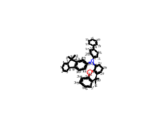 CC1(C)c2ccccc2-c2ccc(N(c3ccc(-c4ccccc4)cc3)c3cccc4c3Oc3ccccc3C4(C)C)cc21